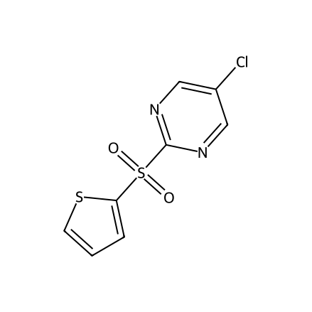 O=S(=O)(c1ncc(Cl)cn1)c1cccs1